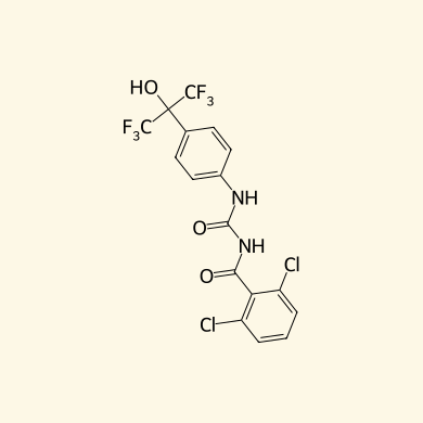 O=C(NC(=O)c1c(Cl)cccc1Cl)Nc1ccc(C(O)(C(F)(F)F)C(F)(F)F)cc1